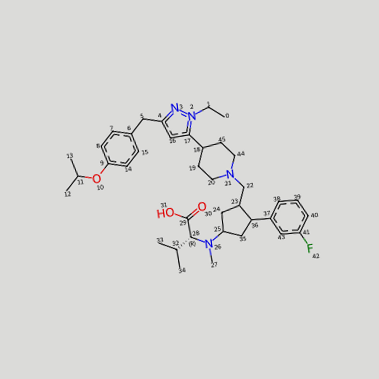 CCn1nc(Cc2ccc(OC(C)C)cc2)cc1C1CCN(CC2CC(N(C)[C@@H](C(=O)O)C(C)C)CC2c2cccc(F)c2)CC1